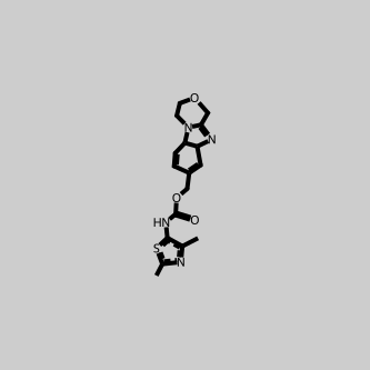 Cc1nc(C)c(NC(=O)OCC2=CC3N=C4COCCN4C3C=C2)s1